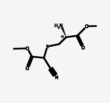 COC(=O)C(C#N)SC[C@H](N)C(=O)OC